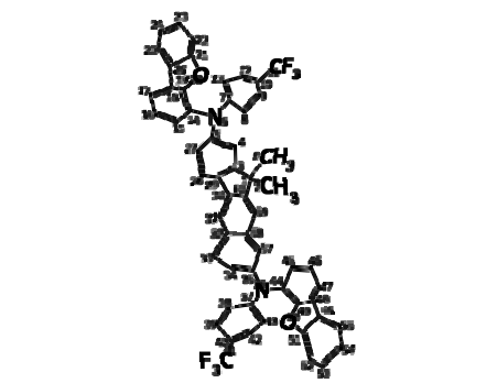 CC1(C)c2cc(N(c3ccc(C(F)(F)F)cc3)c3cccc4c3oc3ccccc34)ccc2-c2cc3ccc(N(c4ccc(C(F)(F)F)cc4)c4cccc5c4oc4ccccc45)cc3cc21